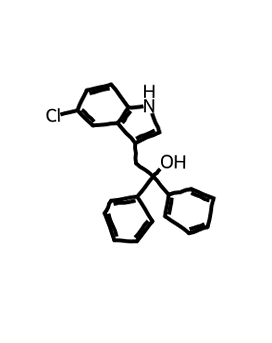 OC(Cc1c[nH]c2ccc(Cl)cc12)(c1ccccc1)c1ccccc1